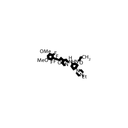 C=CC(=O)Nc1cc(N2CCN(CC)CC2)ccc1Nc1cc2cc(C(F)(F)c3c(F)c(OC)cc(OC)c3F)oc2cn1